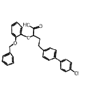 O=C(O)C(CCc1ccc(-c2ccc(Cl)cc2)cc1)Oc1ccccc1OCc1ccccc1